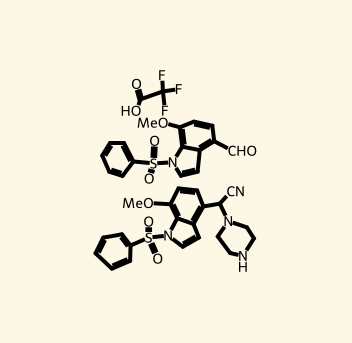 COc1ccc(C(C#N)N2CCNCC2)c2ccn(S(=O)(=O)c3ccccc3)c12.COc1ccc(C=O)c2ccn(S(=O)(=O)c3ccccc3)c12.O=C(O)C(F)(F)F